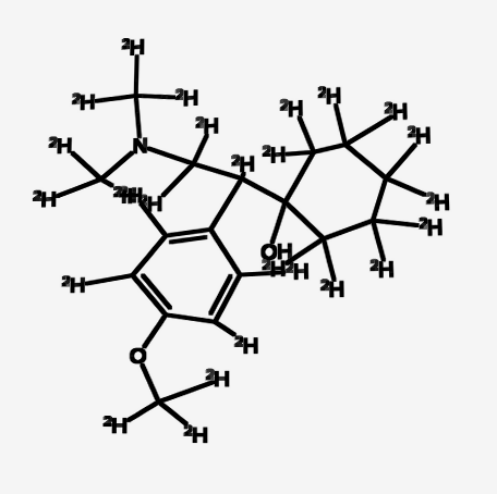 [2H]c1c([2H])c(C([2H])(C([2H])([2H])N(C([2H])([2H])[2H])C([2H])([2H])[2H])C2(O)C([2H])([2H])C([2H])([2H])C([2H])([2H])C([2H])([2H])C2([2H])[2H])c([2H])c([2H])c1OC([2H])([2H])[2H]